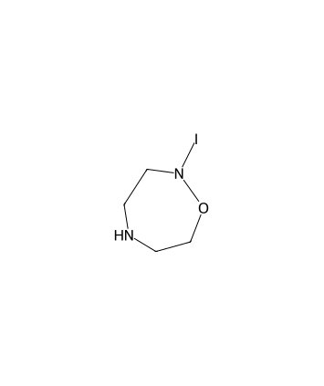 IN1CCNCCO1